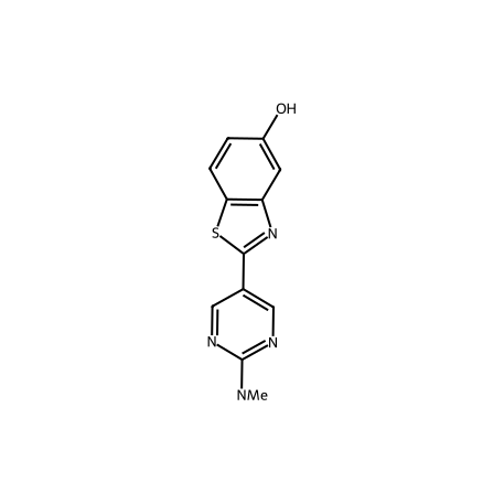 CNc1ncc(-c2nc3cc(O)ccc3s2)cn1